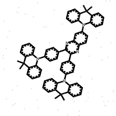 CC1(C)c2ccccc2N(c2ccc(-c3nc4ccc(N5c6ccccc6C(C)(C)c6ccccc65)cc4nc3-c3ccc(N4c5ccccc5C(C)(C)c5ccccc54)cc3)cc2)c2ccccc21